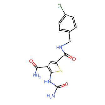 NC(=O)Nc1sc(C(=O)NCc2ccc(Cl)cc2)cc1C(N)=O